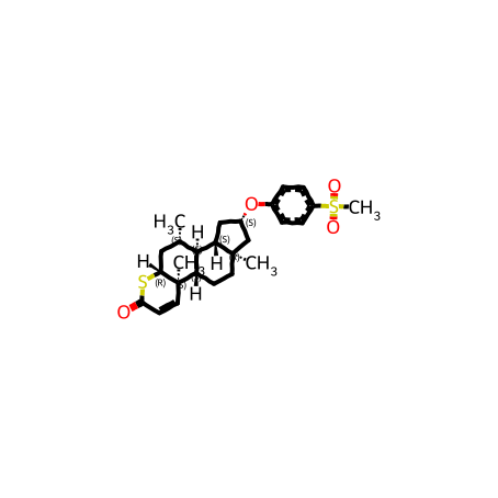 C[C@H]1C[C@H]2SC(=O)C=C[C@]2(C)[C@H]2CC[C@]3(C)C[C@@H](Oc4ccc(S(C)(=O)=O)cc4)C[C@H]3[C@H]12